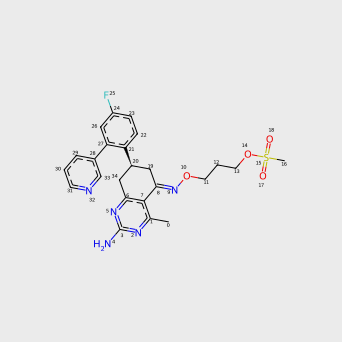 Cc1nc(N)nc2c1/C(=N/OCCCOS(C)(=O)=O)C[C@H](c1ccc(F)cc1-c1cccnc1)C2